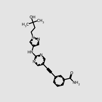 CC(C)(O)CCn1cc(Nc2ncc(C#Cc3cccc(C(N)=O)c3)cn2)cn1